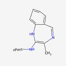 CCCCCNC1=C(C)N=Cc2ccccc2N1